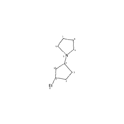 CCC1CCC(N2CCCC2)C1